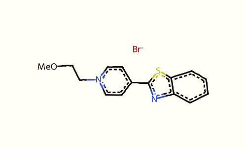 COCC[n+]1ccc(-c2nc3ccccc3s2)cc1.[Br-]